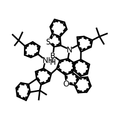 CC(C)(C)c1ccc(Nc2cc3c(cc2-c2c4c(cc5c2oc2ccccc25)N(c2ccc(C(C)(C)C)cc2-c2ccccc2)c2c(sc5ccccc25)B4)C(C)(C)c2ccccc2-3)cc1